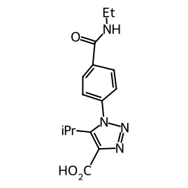 CCNC(=O)c1ccc(-n2nnc(C(=O)O)c2C(C)C)cc1